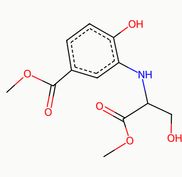 COC(=O)c1ccc(O)c(NC(CO)C(=O)OC)c1